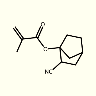 C=C(C)C(=O)OC12CCC(CC1C#N)C2